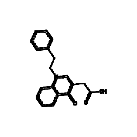 O=C(O)Cc1cn(CCc2ccccc2)c2ccccc2c1=O